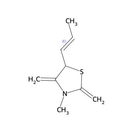 C=C1SC(/C=C/C)C(=C)N1C